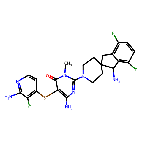 Cn1c(N2CCC3(CC2)Cc2c(F)ccc(F)c2[C@H]3N)nc(N)c(Sc2ccnc(N)c2Cl)c1=O